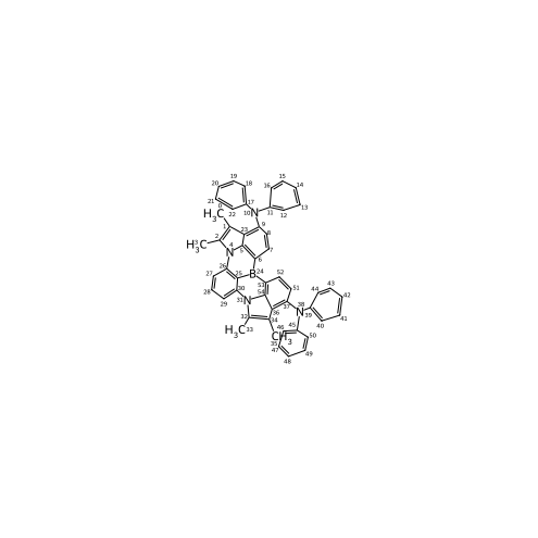 Cc1c(C)n2c3c(ccc(N(c4ccccc4)c4ccccc4)c13)B1c3c-2cccc3-n2c(C)c(C)c3c(N(c4ccccc4)c4ccccc4)ccc1c32